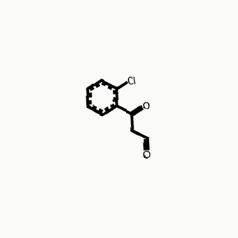 O=CCC(=O)c1ccccc1Cl